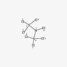 CCN(S(Cl)(Cl)Cl)S(Cl)(Cl)Cl